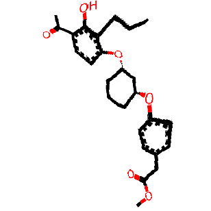 CCCc1c(O[C@H]2CCC[C@H](Oc3ccc(CC(=O)OC)cc3)C2)ccc(C(C)=O)c1O